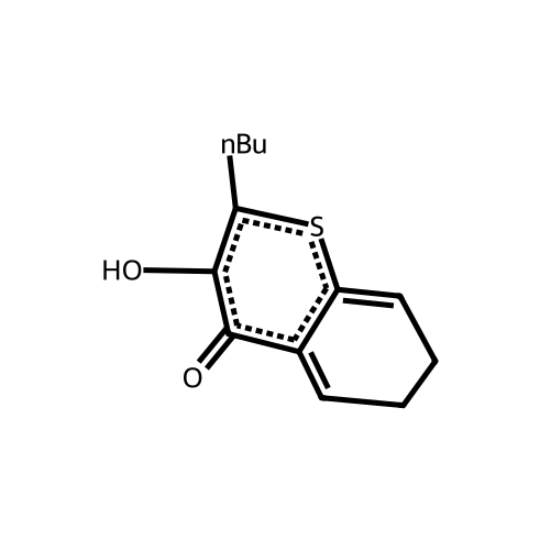 CCCCc1sc2c(c(=O)c1O)=CCCC=2